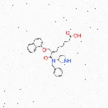 O=C(O)CCCC/C=C(\COc1cccc2ccccc12)C(=O)N(Cc1ccccc1)C1CCNC1